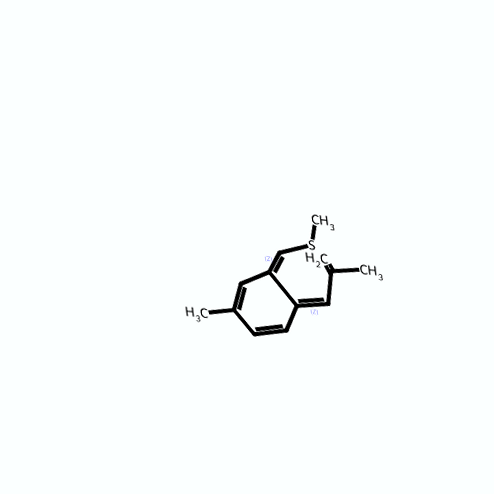 C=C(C)/C=c1/ccc(C)c/c1=C/SC